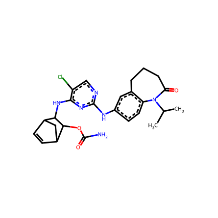 CC(C)N1C(=O)CCCc2cc(Nc3ncc(Cl)c(NC4C5C=CC(C5)C4OC(N)=O)n3)ccc21